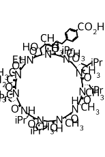 C=C1C(=O)N(C)[C@@H](CC(C)C)C(=O)N[C@H](C(C)C)C(=O)N(C)[C@H](CC(C)C)C(=O)N[C@H](C)C(=O)N[C@@H](C)C(=O)N(C)[C@@H](CC(C)C)C(=O)N(C)[C@@H](CCC(C)C)C(=O)N(C)[C@@H](C(C)C)C(=O)N(C)[C@@H]([C@H](O)[C@H](C)CCCc2ccc(C(=O)O)cc2)C(=O)N[C@@H](CC)C(=O)N1C